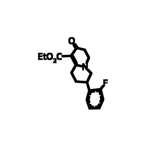 CCOC(=O)C1=C2CCC(c3ccccc3F)CN2CCC1=O